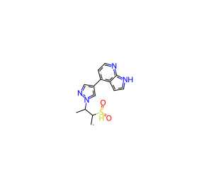 [CH2]C(C(C)n1cc(-c2ccnc3[nH]ccc23)cn1)[SH](=O)=O